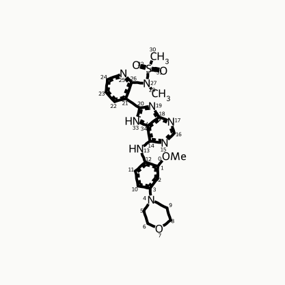 COc1cc(N2CCOCC2)ccc1Nc1ncnc2nc(-c3cccnc3N(C)S(C)(=O)=O)[nH]c12